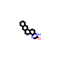 O=c1cnc2c(ccc3c4cc5ccccc5cc4ccc32)[nH]1